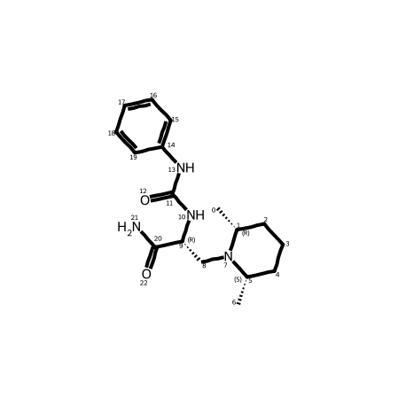 C[C@@H]1CCC[C@H](C)N1C[C@@H](NC(=O)Nc1ccccc1)C(N)=O